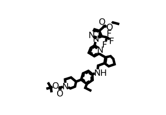 CCOC(=O)c1cnn(-c2cccc(C3=C(CNc4ccc(C5CCN(C(=O)OC(C)(C)C)CC5)c(CC)c4)CCCC3)n2)c1C(F)(F)F